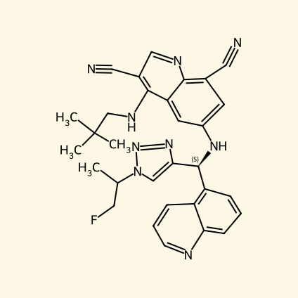 CC(CF)n1cc([C@@H](Nc2cc(C#N)c3ncc(C#N)c(NCC(C)(C)C)c3c2)c2cccc3ncccc23)nn1